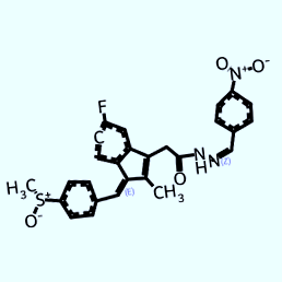 CC1=C(CC(=O)N/N=C\c2ccc([N+](=O)[O-])cc2)c2cc(F)ccc2/C1=C\c1ccc([S+](C)[O-])cc1